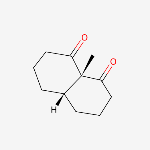 C[C@]12C(=O)CCC[C@H]1CCCC2=O